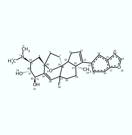 CN(C)[C@H]1C[C@@]23CC[C@]4(O2)C2CC=C(c5ccc6ocnc6c5)[C@@]2(C)CCC4(F)C=C3[C@@H](O)[C@@H]1O